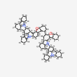 c1ccc2c(c1)oc1c(-c3cccc4oc5c(ccc6c5c5cc7c(c8cccc9c%10ccccc%10n7c98)c7c8ccccc8n6c57)c34)cc3c4cccc5c6c7c8ccccc8n8c9ccccc9c(cc6n(c45)c3c12)c78